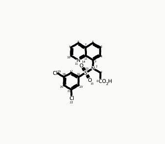 O=C(O)CN(c1cccc2cccnc12)S(=O)(=O)c1cc(Cl)cc(Cl)c1